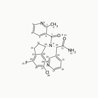 Cc1ncccc1C(=O)N([C@H](C(N)=O)c1cccnc1)[C@H]1CCc2c(F)cc(Cl)cc21